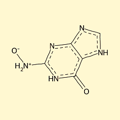 O=c1[nH]c([NH2+][O-])nc2nc[nH]c12